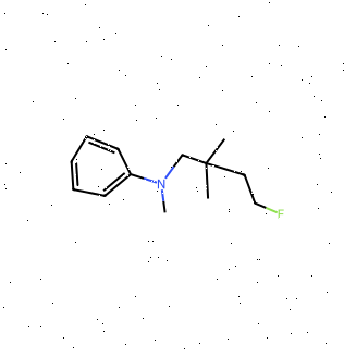 CN(CC(C)(C)CCF)c1ccccc1